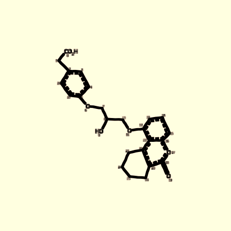 O=C(O)Cc1ccc(OCC(O)COc2cccc3oc(=O)c4c(c23)CCCC4)cc1